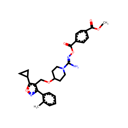 COC(=O)c1ccc(C(=O)O/N=C(\N)N2CCC(OCc3c(-c4ccccc4C)noc3C3CC3)CC2)cc1